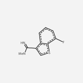 CNC(=N)c1csc2c(F)cccc12